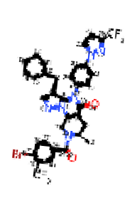 C[C@@H]1Cc2c(n3ncc(Cc4ccccc4)c3n(-c3ccc(-n4ccc(C(F)(F)F)n4)cc3)c2=O)CN1C(=O)c1ccc(Br)c(C(F)(F)F)c1